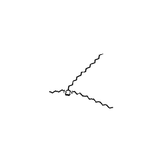 CCCCCCCCCCCCCCCCC1N(CCCCC)C=CN1CCCCCCCCCCCCC